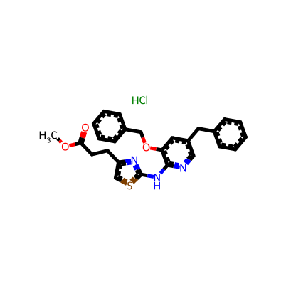 COC(=O)CCc1csc(Nc2ncc(Cc3ccccc3)cc2OCc2ccccc2)n1.Cl